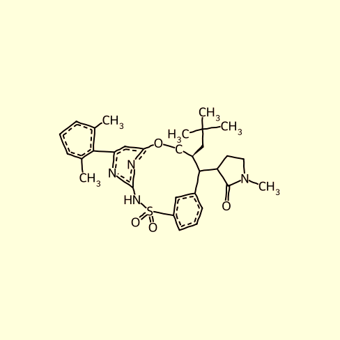 Cc1cccc(C)c1-c1cc2nc(n1)NS(=O)(=O)c1cccc(c1)C(C1CCN(C)C1=O)[C@H](CC(C)(C)C)CO2